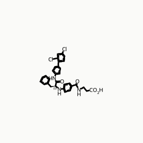 O=C(O)CCNC(=O)c1ccc(N[C@@H](Cc2ccccc2)C(=O)Nc2ccc(-c3ccc(Cl)cc3Cl)cc2)cc1